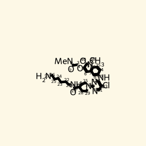 CNC(=O)COc1cc2cc(Nc3nc(N4CCC(C(=O)NCCCCCCN)CC4)ncc3Cl)ccc2n(C)c1=O